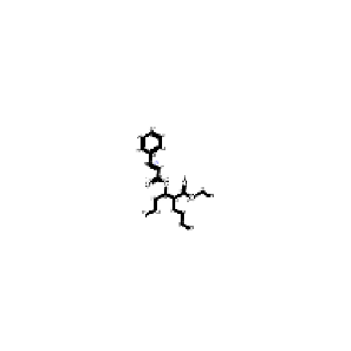 CCCCC(C(=O)OCC)C(CCC)OC(=O)/C=C/c1ccccc1